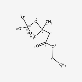 CCOC(=O)CS(C)(C)O[I+3]([O-])([O-])[O-]